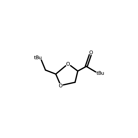 CC(C)(C)CC1OCC(C(=O)C(C)(C)C)O1